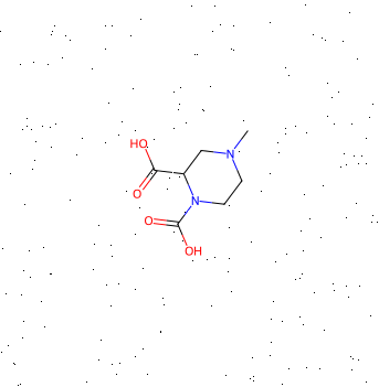 CN1CCN(C(=O)O)C(C(=O)O)C1